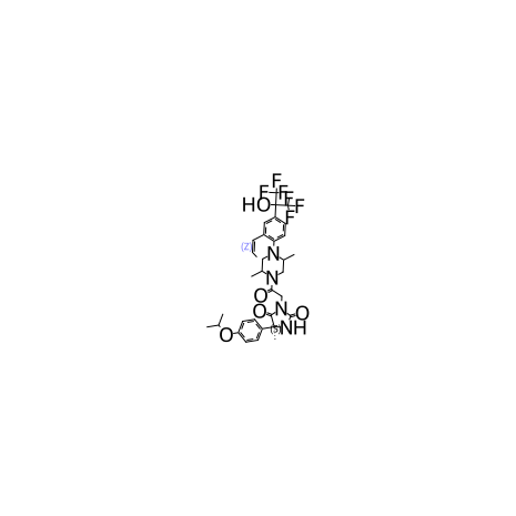 C/C=C\c1cc(C(O)(C(F)(F)F)C(F)(F)F)ccc1N1CC(C)N(C(=O)CN2C(=O)N[C@@](C)(c3ccc(OC(C)C)cc3)C2=O)CC1C